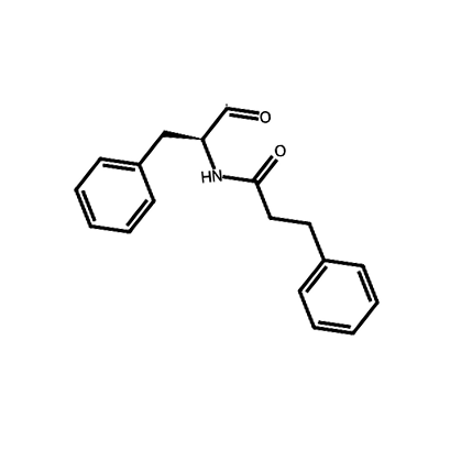 O=[C][C@H](Cc1ccccc1)NC(=O)CCc1ccccc1